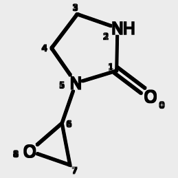 O=C1NCCN1C1CO1